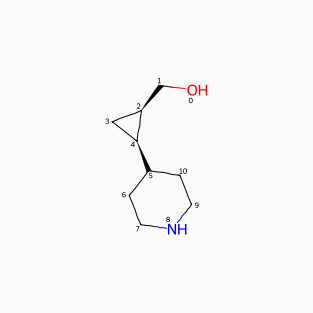 OC[C@@H]1C[C@@H]1C1CCNCC1